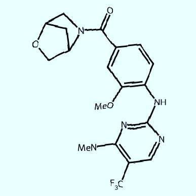 CNc1nc(Nc2ccc(C(=O)N3CC4CC3CO4)cc2OC)ncc1C(F)(F)F